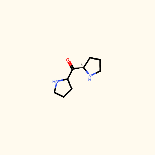 O=C(C1CCCN1)[C@H]1CCCN1